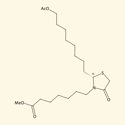 COC(=O)CCCCCCN1C(=O)CS[C@H]1CCCCCCCCOC(C)=O